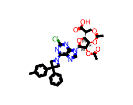 CC(=O)O[C@@H]1[C@H](OC(C)=O)[C@@H](C(C)C(=O)O)O[C@H]1n1cnc2c(N3CC(c4ccccc4)(c4ccc(C)cc4)C3)nc(Cl)nc21